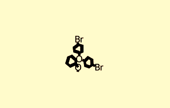 Brc1ccc(Oc2ccc(Br)cc2)cc1.COc1ccccc1